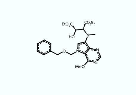 CCOC(=O)[C@H]([C@@H](O)C(=O)OCC)N(C)c1cn(COCc2ccccc2)c2c(OC)ncnc12